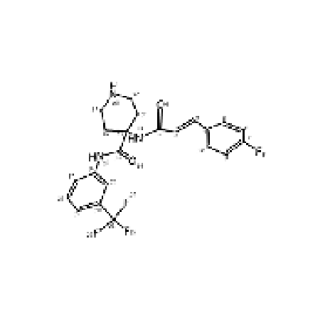 O=C(C=Cc1ccc(F)cc1)NC1(C(=O)Nc2cccc(C(F)(F)F)c2)CCNCC1